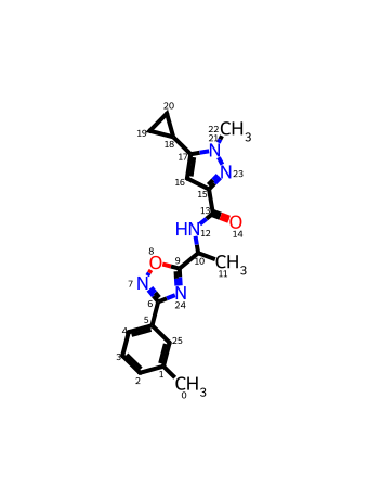 Cc1cccc(-c2noc(C(C)NC(=O)c3cc(C4CC4)n(C)n3)n2)c1